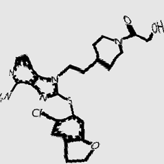 Nc1nccc2c1nc(Sc1cc3c(cc1Cl)CCO3)n2CCC1CCN(C(=O)CO)CC1